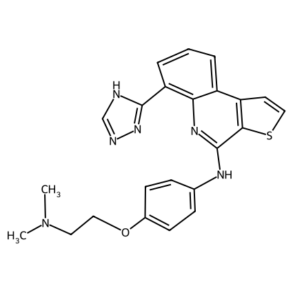 CN(C)CCOc1ccc(Nc2nc3c(-c4nnc[nH]4)cccc3c3ccsc23)cc1